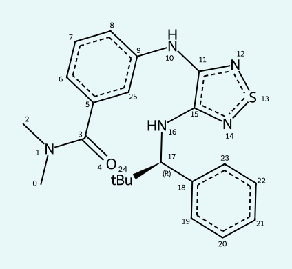 CN(C)C(=O)c1cccc(Nc2nsnc2N[C@@H](c2ccccc2)C(C)(C)C)c1